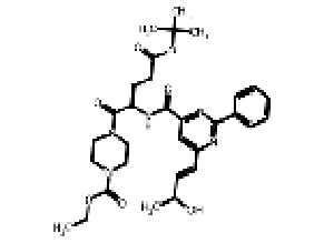 CCOC(=O)N1CCN(C(=O)C(CCC(=O)OC(C)(C)C)NC(=O)c2cc(C=CC(C)O)nc(-c3ccccc3)n2)CC1